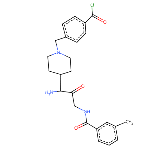 NC(C(=O)CNC(=O)c1cccc(C(F)(F)F)c1)C1CCN(Cc2ccc(C(=O)Cl)cc2)CC1